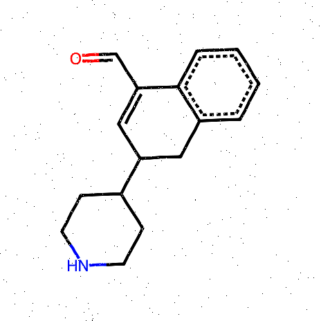 O=CC1=CC(C2CCNCC2)Cc2ccccc21